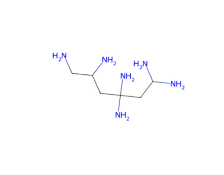 NCC(N)CC(N)(N)CC(N)N